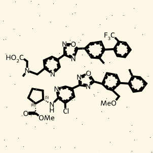 COCc1cc(-c2nc(-c3cnc(N[C@H]4CCC[C@H]4C(=O)OC)c(Cl)c3)no2)ccc1-c1ccccc1C.Cc1cc(-c2nc(-c3ccc(CN(C)CC(=O)O)nc3)no2)ccc1-c1ccccc1C(F)(F)F